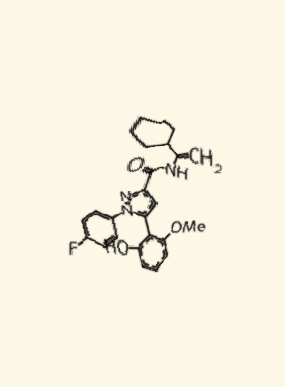 C=C(NC(=O)c1cc(-c2c(O)cccc2OC)n(C2=C=C=C(F)C=C2)n1)C1CCCCC1